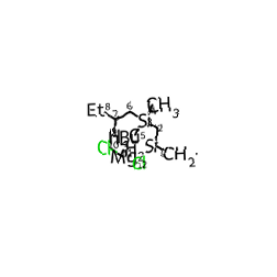 [CH2][SiH2]C[Si](C)(C)CC(CC)CCCC.[Cl][Mg][Cl]